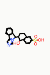 O=S(=O)(O)c1ccc2c(c1)CCC(C1c3ccccc3-c3cncn31)C2O